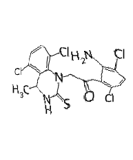 CC1NC(=S)N(CC(=O)c2c(Cl)ccc(Cl)c2N)c2c(Cl)ccc(Cl)c21